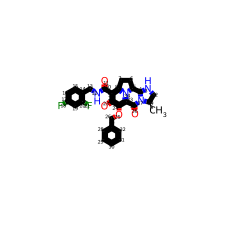 C[C@H]1CNC2C3CCc4c(C(=O)NCc5ccc(F)cc5F)c(=O)c(OCc5ccccc5)c(n43)C(=O)N21